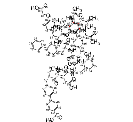 C=C[C@@H](Cc1ccc(-c2ccc(C(=O)O)cc2)cc1)C(=O)C(=C)[C@@H](CC(=O)O)C(=O)N[C@@H](Cc1cccc(C)c1)C(=O)N[C@@H](Cc1ccc(-c2ccc(NC(C)=O)cc2)cc1)C(=O)N[C@@H](Cc1ccc(-c2ccccc2)cc1)C(=O)N[C@@H](Cc1ccc(OCC(=O)O)cc1)C(=O)N(C)[C@@H](C)C(=O)N[C@H](CC(C)C)C(=O)NCC(C)=O